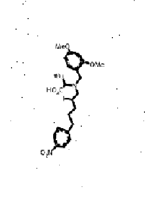 COc1ccc(CN(CC(I)CCCc2ccc([N+](=O)[O-])cc2)C(C(=O)O)C(C)(C)C)c(OC)c1